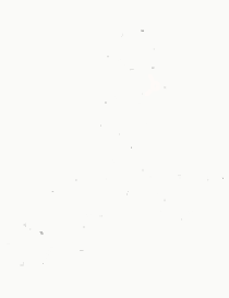 N#Cc1cccc(-c2cc(-c3ccc4c(c3)oc3ccccc34)cc(-c3ccc4c(c3)sc3ccccc34)c2)c1